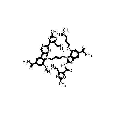 CCc1nc(C)oc1C(=O)Nc1nc2cc(C(N)=O)cc(OCCCNC)c2n1C/C=C/Cn1c2nc(-c3sc(C)nc3CC)ncc2c2cc(C(N)=O)cc(OC)c21